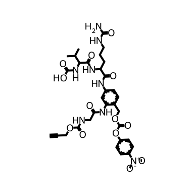 C#CCOC(=O)NCC(=O)Nc1cc(NC(=O)C(CCCNC(N)=O)NC(=O)C(NC(=O)O)C(C)C)ccc1COC(=O)Oc1ccc([N+](=O)[O-])cc1